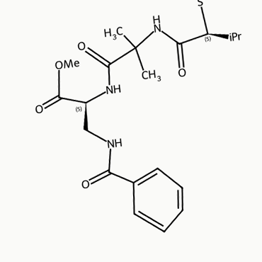 COC(=O)[C@H](CNC(=O)c1ccccc1)NC(=O)C(C)(C)NC(=O)[C@@H](SC(C)=O)C(C)C